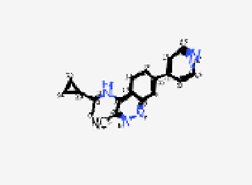 CC(Nc1c(C#N)nnc2cc(-c3ccncc3)ccc12)C1CC1